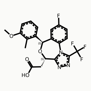 COc1cccc([C@@H]2O[C@@H](CC(=O)O)c3nnc(C(F)(F)F)n3-c3ccc(F)cc32)c1C